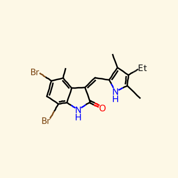 CCc1c(C)[nH]c(C=C2C(=O)Nc3c(Br)cc(Br)c(C)c32)c1C